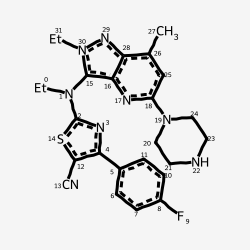 CCN(c1nc(-c2ccc(F)cc2)c(C#N)s1)c1c2nc(N3CCNCC3)cc(C)c2nn1CC